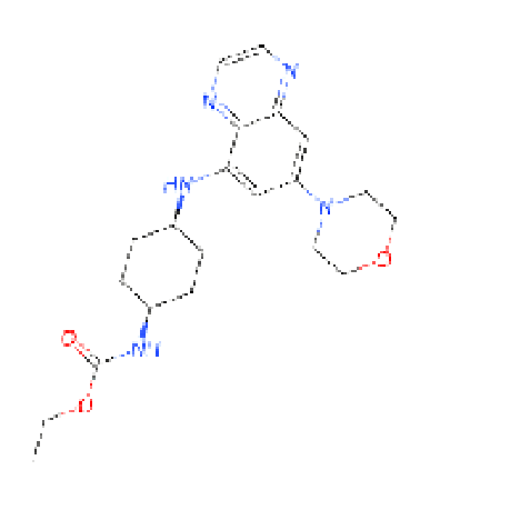 CCOC(=O)N[C@H]1CC[C@@H](Nc2cc(N3CCOCC3)cc3nccnc23)CC1